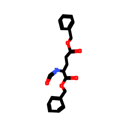 O=C=NC(CCC(=O)OCc1ccccc1)C(=O)OCc1ccccc1